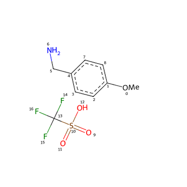 COc1ccc(CN)cc1.O=S(=O)(O)C(F)(F)F